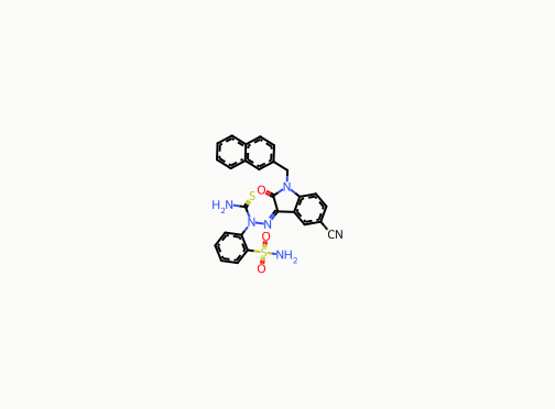 N#Cc1ccc2c(c1)/C(=N/N(C(N)=S)c1ccccc1S(N)(=O)=O)C(=O)N2Cc1ccc2ccccc2c1